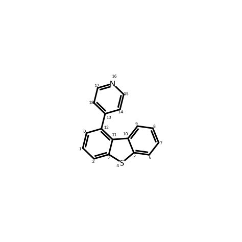 [c]1ccc2sc3ccccc3c2c1-c1ccncc1